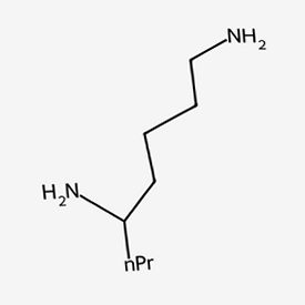 CCCC(N)CCCCN